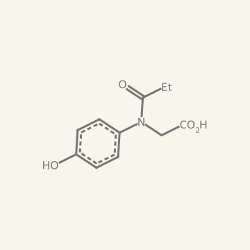 CCC(=O)N(CC(=O)O)c1ccc(O)cc1